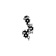 COc1ccc2nccc(C(O)CN3CCCCC3CNCc3ccc4c(c3)OCCO4)c2c1